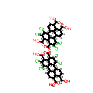 O=C(O)c1ccc2c3c(Cl)c(Cl)c(C(=O)O)c4c(C(=O)OC(=O)c5c(Cl)c(Cl)c6c7ccc(C(=O)O)c8c(C(=O)O)ccc(c9c(Cl)c(Cl)c(C(=O)O)c5c96)c87)c(Cl)c(Cl)c(c5ccc(C(=O)O)c1c25)c43